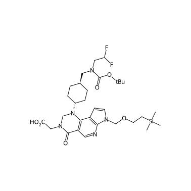 CC(C)(C)OC(=O)N(CC(F)F)C[C@H]1CC[C@H](N2CN(CC(=O)O)C(=O)c3cnc4c(ccn4COCC[Si](C)(C)C)c32)CC1